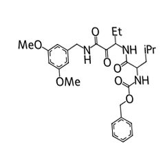 CCC(NC(=O)C(CC(C)C)NC(=O)OCc1ccccc1)C(=O)C(=O)NCc1cc(OC)cc(OC)c1